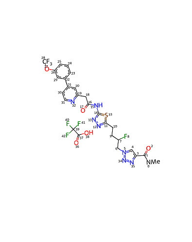 CNC(=O)c1cn(CC(F)CCc2nnc(NC(=O)Cc3cc(-c4cccc(OC(F)(F)F)c4)ccn3)s2)nn1.O=C(O)C(F)(F)F